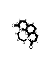 O=c1ccc2ccc3ccc(=O)n4c3c2n1CCC4